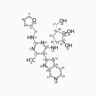 Cc1nc(NCc2ccco2)nc(N[C@@H]2C[C@H](CO)[C@@H](O)[C@H]2O)c1-c1nc2cnccc2s1